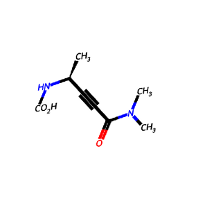 C[C@@H](C#CC(=O)N(C)C)NC(=O)O